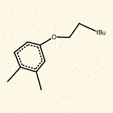 Cc1ccc(OCCC(C)(C)C)cc1C